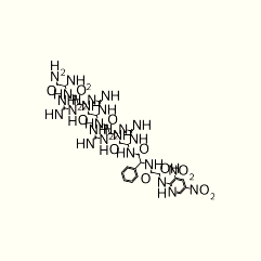 N=C(N)NC(NC(=O)C(NC(=N)N)NC(=O)C(NC(=N)N)NC(=O)C(NC(=N)N)NC(=O)C(NC(=O)C(O)Nc1ncc([N+](=O)[O-])cc1[N+](=O)[O-])c1ccccc1)C(=O)NC(N)C(N)=O